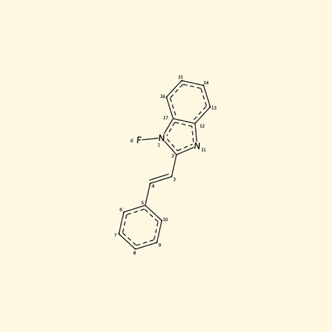 Fn1c(C=Cc2ccccc2)nc2ccccc21